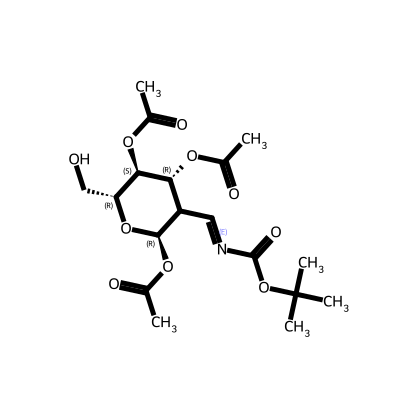 CC(=O)O[C@H]1O[C@H](CO)[C@@H](OC(C)=O)[C@H](OC(C)=O)C1/C=N/C(=O)OC(C)(C)C